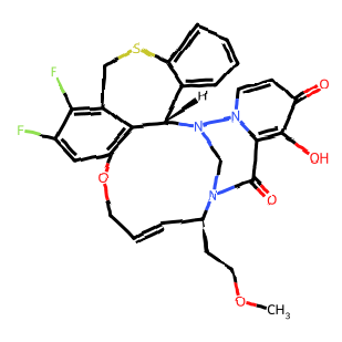 COCC[C@H]1/C=C/COc2cc(F)c(F)c3c2[C@H](c2ccccc2SC3)N2CN1C(=O)c1c(O)c(=O)ccn12